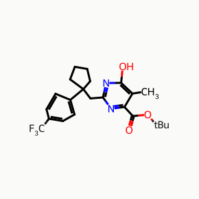 Cc1c(O)nc(CC2(c3ccc(C(F)(F)F)cc3)CCCC2)nc1C(=O)OC(C)(C)C